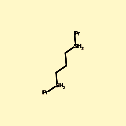 CC(C)[SiH2]CCC[SiH2]C(C)C